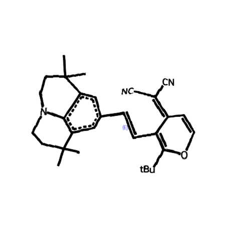 CC(C)(C)C1=C(/C=C/c2cc3c4c(c2)C(C)(C)CCN4CCC3(C)C)C(=C(C#N)C#N)C=CO1